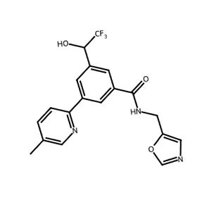 Cc1ccc(-c2cc(C(=O)NCc3cnco3)cc(C(O)C(F)(F)F)c2)nc1